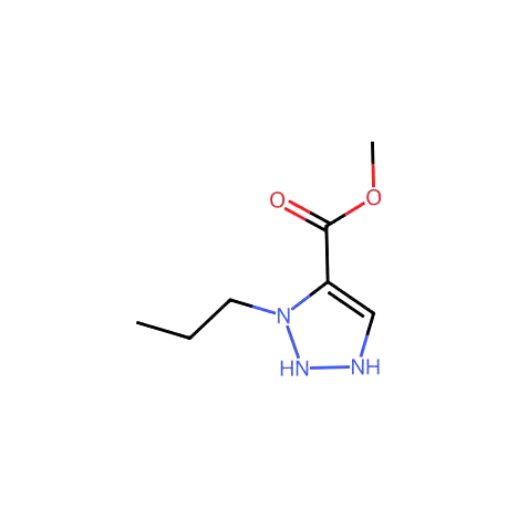 CCCN1NNC=C1C(=O)OC